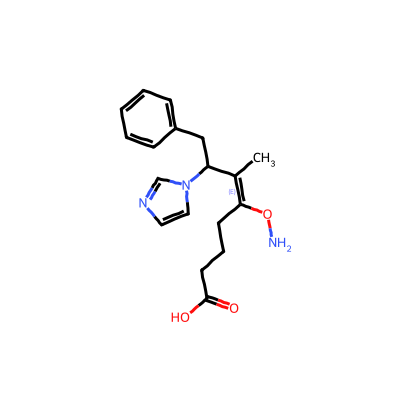 C/C(=C(/CCCC(=O)O)ON)C(Cc1ccccc1)n1ccnc1